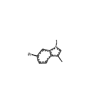 Cc1cn(C)c2cc(C(C)C)ccc12